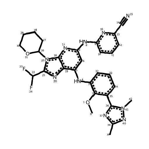 COc1c(Nc2cc(Nc3cccc(C#N)n3)nc3c2nc(C(F)F)n3C2CCCCO2)cccc1-c1nc(C)nn1C